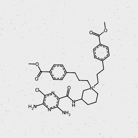 COC(=O)c1ccc(CCC[N+]2(CCCc3ccc(C(=O)OC)cc3)CCCC(NC(=O)c3nc(Cl)c(N)nc3N)C2)cc1